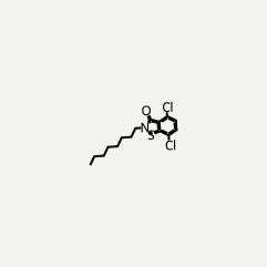 CCCCCCCCn1sc2c(Cl)ccc(Cl)c2c1=O